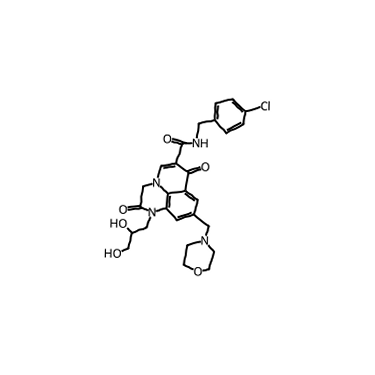 O=C(NCc1ccc(Cl)cc1)c1cn2c3c(cc(CN4CCOCC4)cc3c1=O)N(CC(O)CO)C(=O)C2